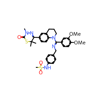 COc1ccc(C(=NCc2ccc(NS(C)(=O)=O)cc2)N2CCCc3cc(C4=NN(C)C(=O)SC4(C)C)ccc32)cc1OC